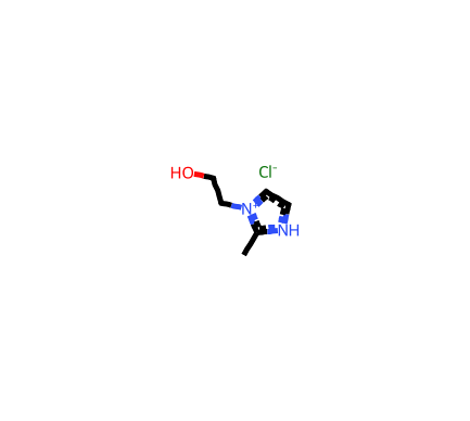 Cc1[nH]cc[n+]1CCO.[Cl-]